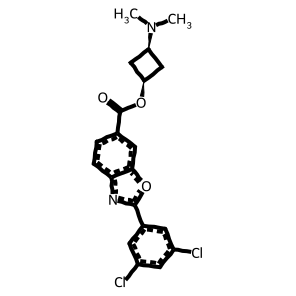 CN(C)[C@H]1C[C@@H](OC(=O)c2ccc3nc(-c4cc(Cl)cc(Cl)c4)oc3c2)C1